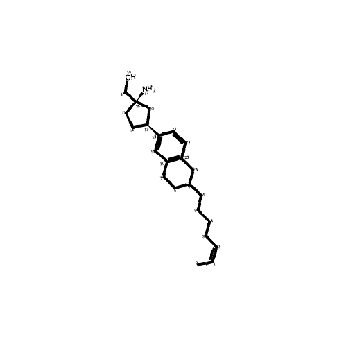 C/C=C\CCCCC1CCc2cc([C@H]3CC[C@](N)(CO)C3)ccc2C1